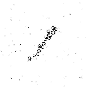 N#CCCCCOc1ccc(C(=O)Oc2ccc(C=CC(=O)OCCc3ccc([N+](=O)[O-])cc3[N+](=O)[O-])cc2)cc1